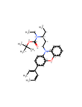 C/C=C\C(=C/C)c1ccc2c(c1)Oc1ccccc1N2CC[C@H](CC)N(CC)C(=O)OC(C)(C)C